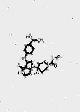 CCC1(n2nc(Nc3ccc(C(C)O)cc3)c3c(=O)[nH]ccc32)CCN(C(=O)OC(C)(C)C)CC1